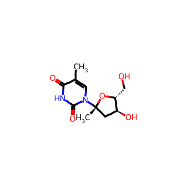 Cc1cn([C@@]2(C)C[C@H](O)[C@@H](CO)O2)c(=O)[nH]c1=O